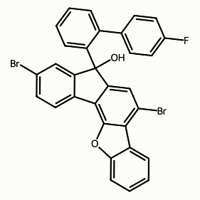 OC1(c2ccccc2-c2ccc(F)cc2)c2cc(Br)ccc2-c2c1cc(Br)c1c2oc2ccccc21